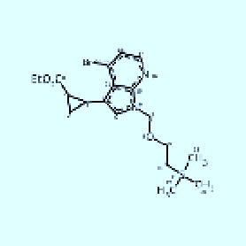 CCOC(=O)C1CC1c1cn(COCC[Si](C)(C)C)c2nccc(Br)c12